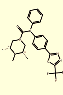 C[C@@H]1CN(C(=O)N(c2ccccc2)c2ccc(-c3nnc(C(F)(F)F)o3)cc2)C[C@H](C)N1C